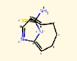 NC(=S)NC1=C\CCC/C=C/C=N\1